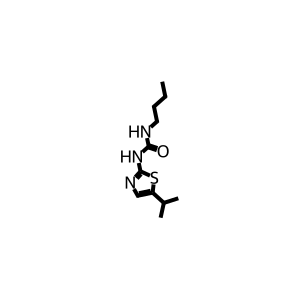 CCCCNC(=O)Nc1ncc(C(C)C)s1